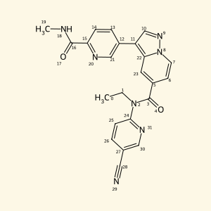 CCN(C(=O)c1ccn2ncc(-c3ccc(C(=O)NC)nc3)c2c1)c1ccc(C#N)cn1